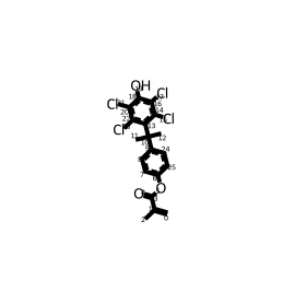 C=C(C)C(=O)Oc1ccc(C(C)(C)c2c(Cl)c(Cl)c(O)c(Cl)c2Cl)cc1